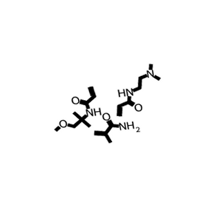 C=C(C)C(N)=O.C=CC(=O)NC(C)(C)COC.C=CC(=O)NCCN(C)C